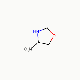 O=[N+]([O-])C1[CH]OCN1